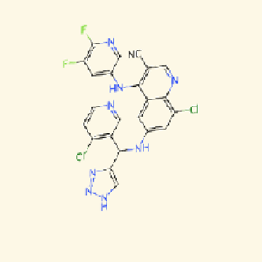 N#Cc1cnc2c(Cl)cc(NC(c3c[nH]nn3)c3cnccc3Cl)cc2c1Nc1cnc(F)c(F)c1